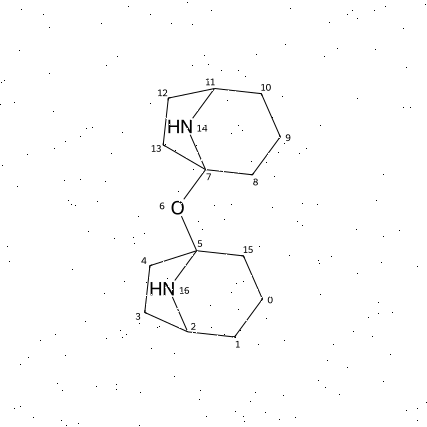 C1CC2CCC(OC34CCCC(CC3)N4)(C1)N2